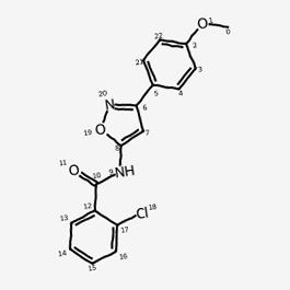 COc1ccc(-c2cc(NC(=O)c3ccccc3Cl)on2)cc1